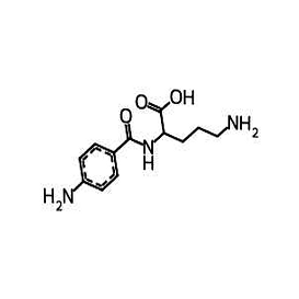 NCCCC(NC(=O)c1ccc(N)cc1)C(=O)O